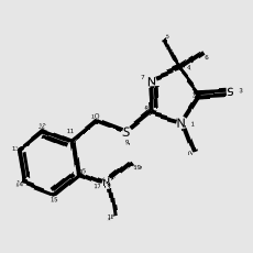 CN1C(=S)C(C)(C)N=C1SCc1ccccc1N(C)C